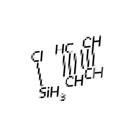 C#C.C#C.[SiH3]Cl